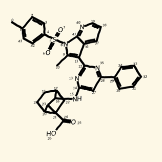 Cc1ccc(S(=O)(=O)n2c(C)c(-c3nc(NC4C5CCC(CC5)C4C(=O)O)cc(-c4ccccc4)n3)c3cccnc32)cc1